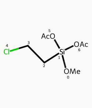 CO[Si](CCCl)(OC(C)=O)OC(C)=O